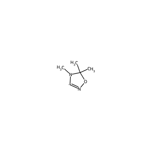 CN1[C]=NOC1(C)C